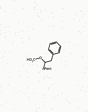 CCCCCC(Cc1ccccc1)OC(=O)O